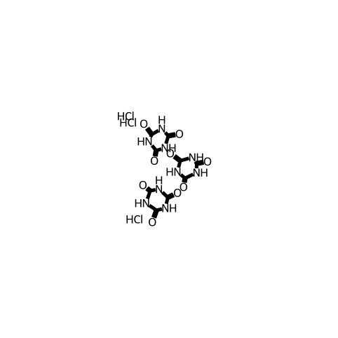 Cl.Cl.Cl.O=c1[nH]c(=O)[nH]c(=O)[nH]1.O=c1[nH]c(=O)[nH]c(=O)[nH]1.O=c1[nH]c(=O)[nH]c(=O)[nH]1